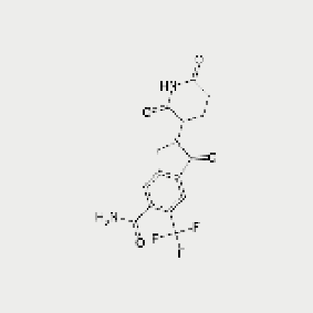 NC(=O)c1cc2c(cc1C(F)(F)F)C(=O)N(C1CCC(=O)NC1=O)C2